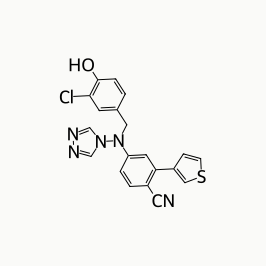 N#Cc1ccc(N(Cc2ccc(O)c(Cl)c2)n2cnnc2)cc1-c1ccsc1